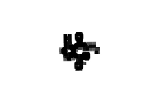 NC(=O)c1[nH]cnc1[N+](=O)[O-]